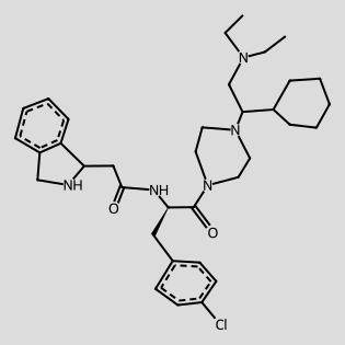 CCN(CC)CC(C1CCCCC1)N1CCN(C(=O)[C@@H](Cc2ccc(Cl)cc2)NC(=O)CC2NCc3ccccc32)CC1